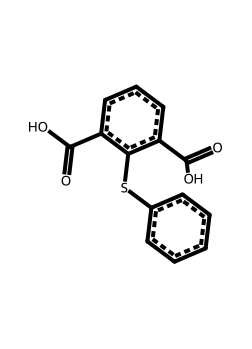 O=C(O)c1cccc(C(=O)O)c1Sc1ccccc1